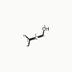 CC(C)=C=CO